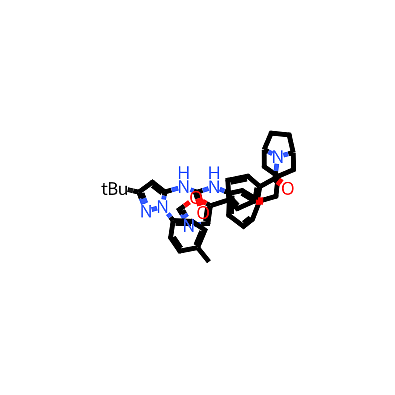 Cc1ccc(-n2nc(C(C)(C)C)cc2NC(=O)Nc2cccc(CC3CC4CCC(C3)N4C(=O)c3ccc(-c4cnco4)cc3)c2)cc1